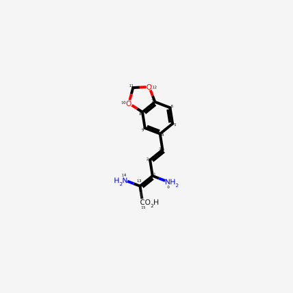 NC(C=Cc1ccc2c(c1)OCO2)=C(N)C(=O)O